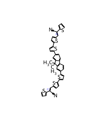 CC1(C)c2cc(-c3ccc(-c4ccc(/C=C(\C#N)c5cccs5)s4)s3)ccc2-c2ccc(-c3ccc(-c4ccc(/C=C(\C#N)c5cccs5)s4)s3)cc21